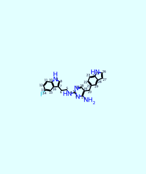 Nc1nc(NCCc2c[nH]c3ccc(F)cc23)ncc1Cc1ccc2[nH]ccc2c1